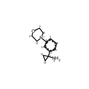 NC1(c2cccc(N3CCOCC3)c2)CC1